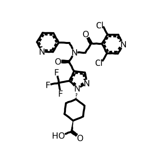 O=C(CN(Cc1cccnc1)C(=O)c1cnn([C@H]2CC[C@H](C(=O)O)CC2)c1C(F)(F)F)c1c(Cl)cncc1Cl